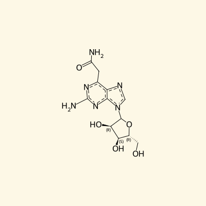 NC(=O)Cc1nc(N)nc2c1ncn2C1O[C@H](CO)[C@@H](O)[C@H]1O